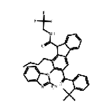 CCCCc1c2c(cc(C(=O)c3ccccc3C(C)(C)C)c1-n1c(N)nc3ccccc31)-c1ccccc1C2C(=O)NCC(F)(F)F